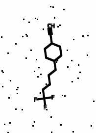 C#CC1CCC(CCCCC(F)(F)F)CC1